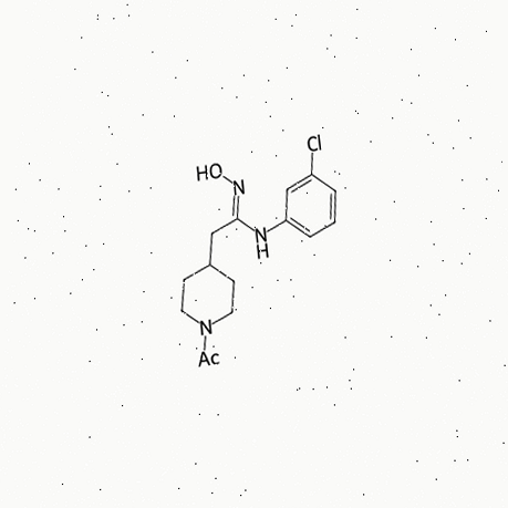 CC(=O)N1CCC(C/C(=N\O)Nc2cccc(Cl)c2)CC1